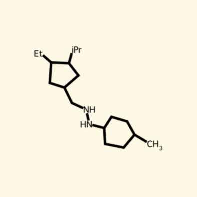 CCC1CC(CNNC2CCC(C)CC2)CC1C(C)C